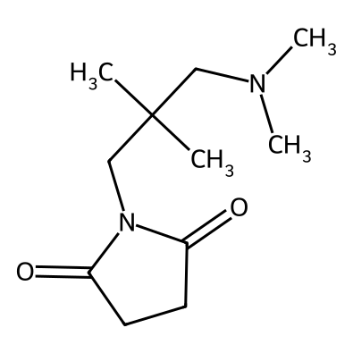 CN(C)CC(C)(C)CN1C(=O)CCC1=O